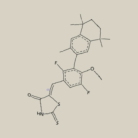 COc1c(F)cc(/C=C2\SC(=S)NC2=O)c(F)c1-c1cc2c(cc1C)C(C)(C)CCC2(C)C